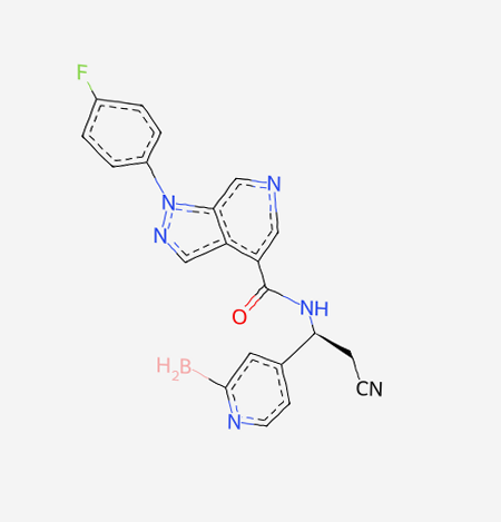 Bc1cc([C@H](CC#N)NC(=O)c2cncc3c2cnn3-c2ccc(F)cc2)ccn1